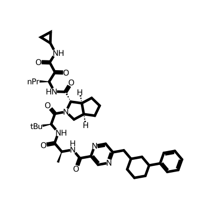 CCC[C@H](NC(=O)[C@@H]1[C@H]2CCC[C@H]2CN1C(=O)[C@@H](NC(=O)[C@H](C)NC(=O)c1cnc(CC2CCCC(c3ccccc3)C2)cn1)C(C)(C)C)C(=O)C(=O)NC1CC1